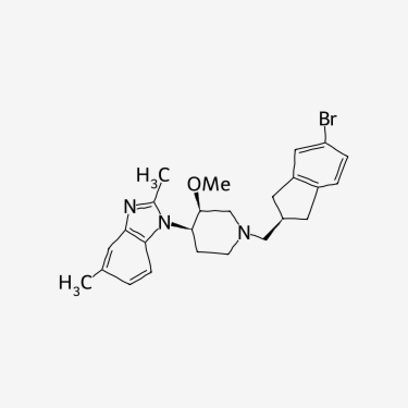 CO[C@H]1CN(C[C@@H]2Cc3ccc(Br)cc3C2)CC[C@H]1n1c(C)nc2cc(C)ccc21